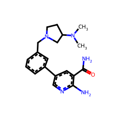 CN(C)C1CCN(Cc2cccc(-c3cnc(N)c(C(N)=O)c3)c2)C1